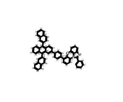 c1ccc(-c2nc3cccc4c3n2-c2cccc(-c3ccc(-c5ccc6c(-c7ccc8ccccc8c7)c7ccccc7c(-c7ccc8ccccc8c7)c6c5)cc3)c2O4)cc1